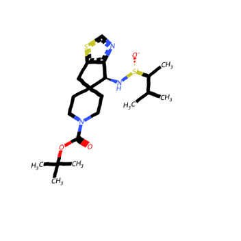 CC(C)C(C)[S@@+]([O-])N[C@@H]1c2ncsc2CC12CCN(C(=O)OC(C)(C)C)CC2